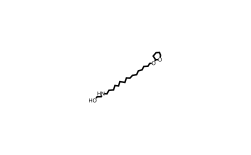 OCCNCCCCCCCCCCCCCCCCOC1CCCCO1